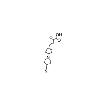 N#CC1CCN(c2ccc(C=CC(=O)C(=O)O)cc2)CC1